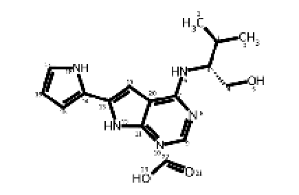 CC(C)[C@H](CO)Nc1ncnc2[nH]c(-c3ccc[nH]3)cc12.O=CO